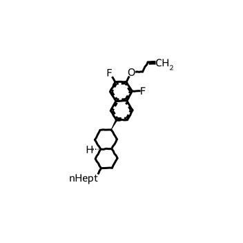 C=CCOc1c(F)cc2cc([C@@H]3CC[C@@H]4CC(CCCCCCC)CCC4C3)ccc2c1F